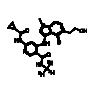 [2H]C([2H])([2H])NC(=O)c1cnc(NC(=O)C2CC2)cc1Nc1cn(C)c2ccn(CCO)c(=O)c12